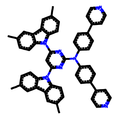 Cc1ccc2c(c1)c1cc(C)ccc1n2-c1cc(-n2c3ccc(C)cc3c3cc(C)ccc32)nc(N(c2ccc(-c3ccncc3)cc2)c2ccc(-c3ccncc3)cc2)n1